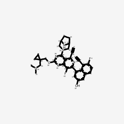 C#Cc1c(F)ccc2cc(O)cc(-c3nc(C#C)c4c(N5CC6CCC(C5)N6)nc(OCC5(CN(C)C)CC5)nc4c3F)c12